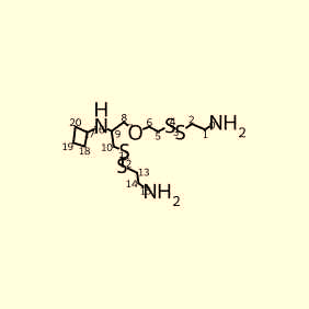 NCCSSCCOCC(CSSCCN)NC1CCC1